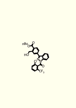 CCCCOC(=O)c1ccc(-c2nn(C(=O)c3c(Cl)cccc3C(F)(F)F)c3ccccc23)cc1CO